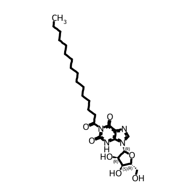 CCCCCCCCCCCCCCCC(=O)n1c(=O)[nH]c2c(ncn2[C@@H]2O[C@H](CO)[C@@H](O)[C@H]2O)c1=O